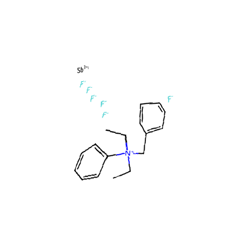 CC[N+](CC)(Cc1ccccc1)c1ccccc1.[F-].[F-].[F-].[F-].[F-].[F-].[Sb+3]